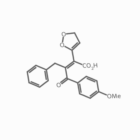 COc1ccc(C(=O)C(Cc2ccccc2)=C(C(=O)O)C2=CCOO2)cc1